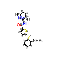 CC(=O)Nc1ccccc1Sc1ccc(C(=O)N[C@@H]2C[C@H]3CC[C@@H]2N3)s1